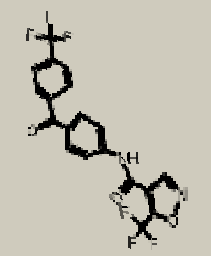 O=C(c1ccc(NC(=O)c2cnoc2C(F)(F)F)cc1)c1ccc(C(F)(F)F)cc1